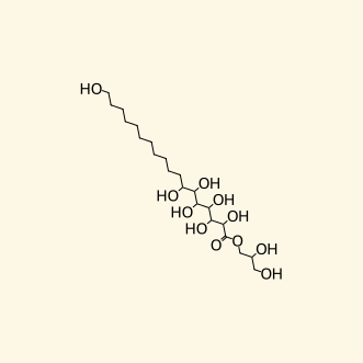 O=C(OCC(O)CO)C(O)C(O)C(O)C(O)C(O)C(O)CCCCCCCCCCCO